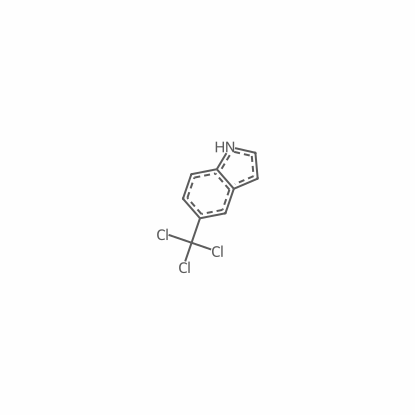 ClC(Cl)(Cl)c1ccc2[nH]ccc2c1